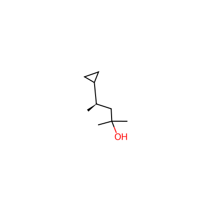 C[C@H](CC(C)(C)O)C1CC1